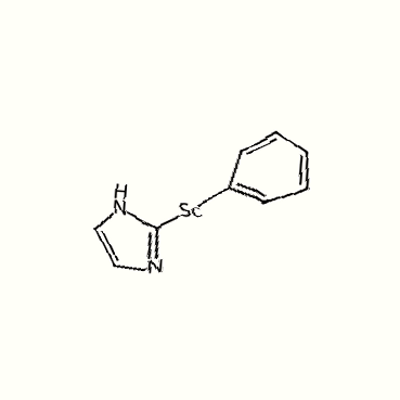 c1cc[c]([Sc][c]2ncc[nH]2)cc1